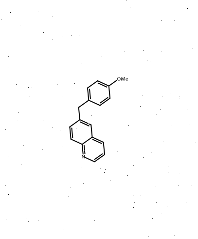 COc1ccc(Cc2ccc3ncccc3c2)cc1